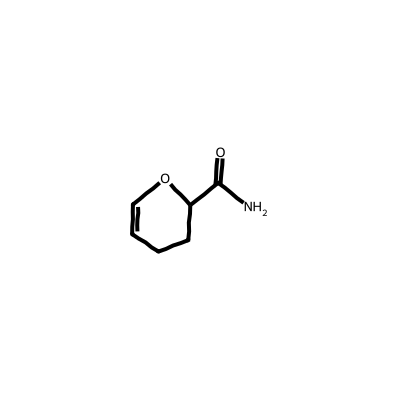 NC(=O)C1CCC=CO1